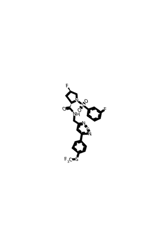 O=C(NCc1cc(-c2ccc(SC(F)(F)F)cc2)ncn1)[C@@H]1C[C@@H](F)CN1S(=O)(=O)c1cccc(F)c1